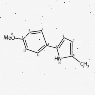 COc1ccc(-c2ccc(C)[nH]2)cc1